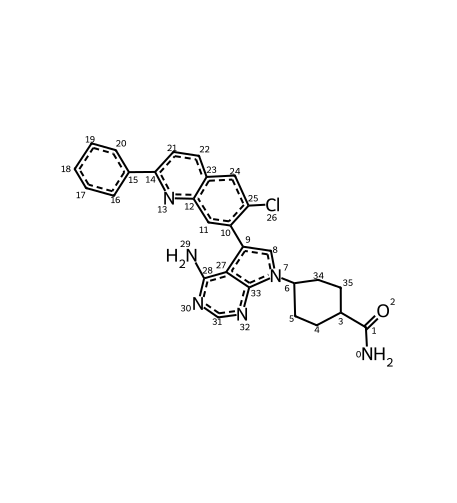 NC(=O)C1CCC(n2cc(-c3cc4nc(-c5ccccc5)ccc4cc3Cl)c3c(N)ncnc32)CC1